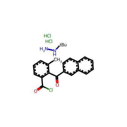 CC(C)(C)NN.Cc1cccc(C(=O)Cl)c1C(=O)c1ccc2ccccc2c1.Cl.Cl